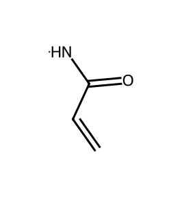 C=CC([NH])=O